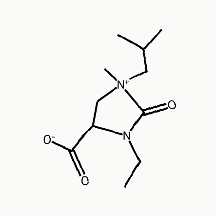 CCN1C(=O)[N+](C)(CC(C)C)CC1C(=O)[O-]